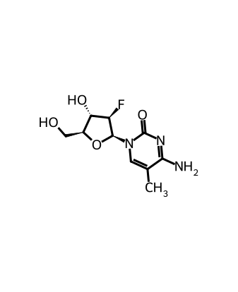 Cc1cn([C@H]2O[C@@H](CO)[C@H](O)[C@H]2F)c(=O)nc1N